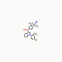 Cc1cc(Br)ccc1-n1cc(C(O)c2ccc(C(C)(C)C#N)cc2)c2ccccc21